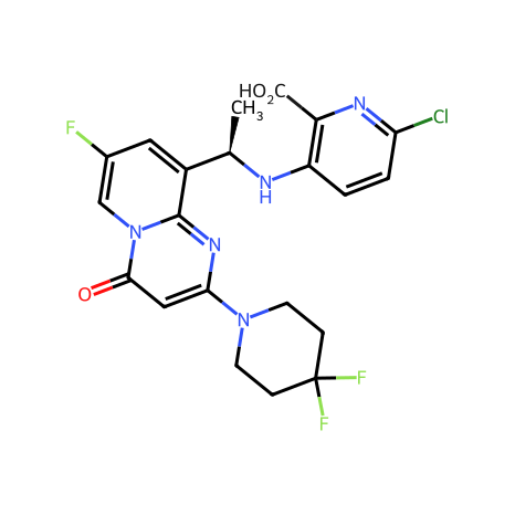 C[C@@H](Nc1ccc(Cl)nc1C(=O)O)c1cc(F)cn2c(=O)cc(N3CCC(F)(F)CC3)nc12